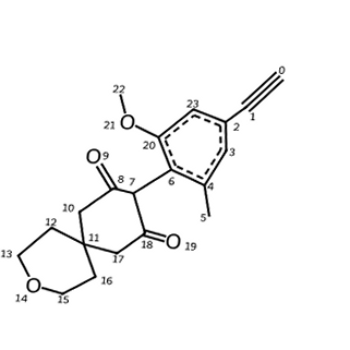 C#Cc1cc(C)c(C2C(=O)CC3(CCOCC3)CC2=O)c(OC)c1